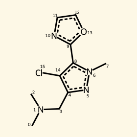 CN(C)Cc1nn(C)c(-c2ncco2)c1Cl